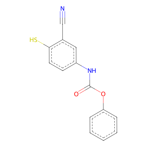 N#Cc1cc(NC(=O)Oc2ccccc2)ccc1S